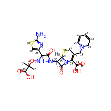 CC(C)(ONC(C(=O)N[C@@H]1C(=O)N2C(C(=O)O)=C(CN3C=CC=CC3)CS[C@H]12)c1csc(N)n1)C(=O)O